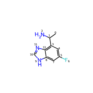 CC(N)c1cc(F)cc2[nH]cnc12